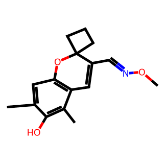 CON=CC1=Cc2c(cc(C)c(O)c2C)OC12CCC2